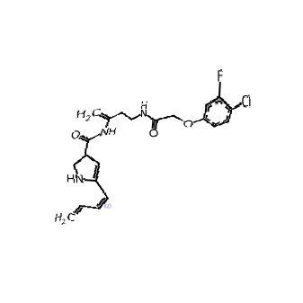 C=C/C=C\C1=CC(C(=O)NC(=C)CCNC(=O)COc2ccc(Cl)c(F)c2)CN1